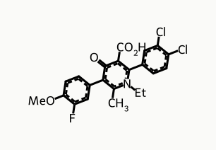 CCn1c(C)c(-c2ccc(OC)c(F)c2)c(=O)c(C(=O)O)c1-c1ccc(Cl)c(Cl)c1